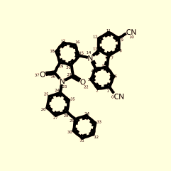 N#Cc1ccc2c(c1)c1cc(C#N)ccc1n2-c1cccc2c1C(=O)N(c1cccc(-c3ccccc3)c1)C2=O